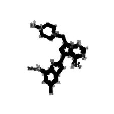 CCN1CCN(Cc2cc(-c3cc4cc(C)cc(OC)c4s3)c3c(N)ncnn23)CC1